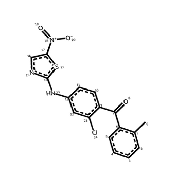 Cc1ccccc1C(=O)c1ccc(Nc2ncc([N+](=O)[O-])s2)cc1Cl